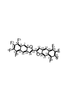 Fc1c(F)c(F)c2cc3oc(-c4cc5cc6c(F)c(F)c(F)c(F)c6cc5o4)cc3cc2c1F